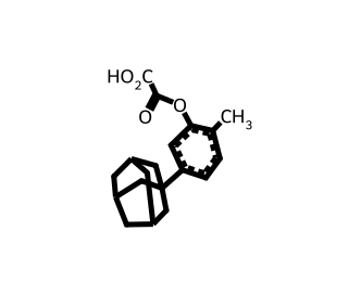 Cc1ccc(C23CC4CC(CC(C4)C2)C3)cc1OC(=O)C(=O)O